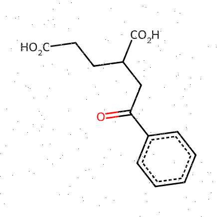 O=C(O)CCC(CC(=O)c1ccccc1)C(=O)O